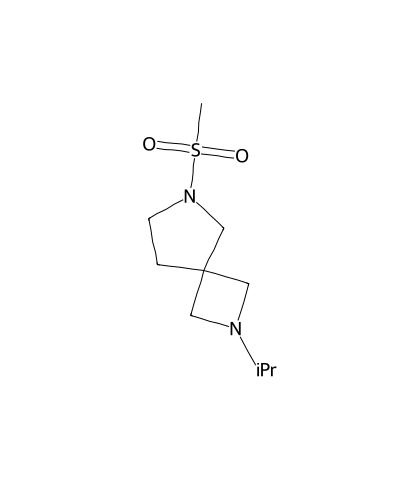 CC(C)N1CC2(CCN(S(C)(=O)=O)C2)C1